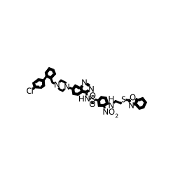 O=[N+]([O-])c1cc(S(=O)(=O)Nc2ncnc3cc(N4CCN(Cc5ccccc5-c5ccc(Cl)cc5)CC4)ccc23)ccc1NCCSc1nc2ccccc2o1